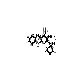 Nc1c([N+](=O)[O-])c(Nc2ccccc2)nc(Nc2ccccc2)c1[N+](=O)[O-]